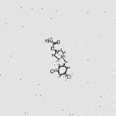 CC(C)(C)C(=O)ON1CCN(Cc2cc(Cl)cc(Cl)c2)CC1